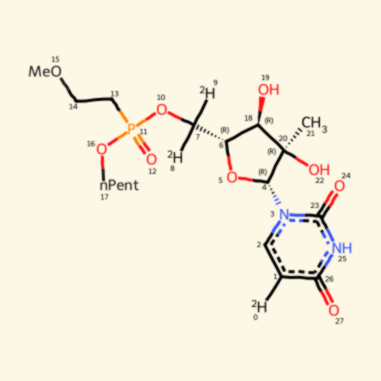 [2H]c1cn([C@@H]2O[C@H](C([2H])([2H])OP(=O)(CCOC)OCCCCC)[C@@H](O)[C@@]2(C)O)c(=O)[nH]c1=O